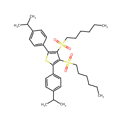 CCCCCCS(=O)(=O)c1c(-c2ccc(C(C)C)cc2)sc(-c2ccc(C(C)C)cc2)c1S(=O)(=O)CCCCCC